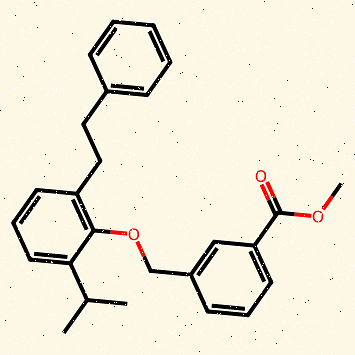 COC(=O)c1cccc(COc2c(CCc3ccccc3)cccc2C(C)C)c1